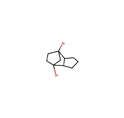 BrC12CCC(Br)(C1)C1CCCC12